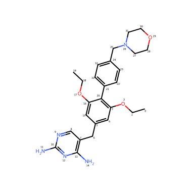 CCOc1cc(Cc2cnc(N)nc2N)cc(OCC)c1-c1ccc(CN2CCOCC2)cc1